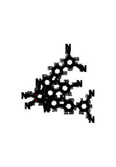 N#Cc1cc(C#N)cc(-c2ccc3c4ccc(-c5cc(C#N)cc(C#N)c5)cc4n(-c4cc(C#N)cc(-n5c6cc(-c7cc(C#N)cc(C#N)c7)ccc6c6ccc(-c7cc(C#N)cc(C#N)c7)cc65)c4-c4cccc(C#N)c4)c3c2)c1